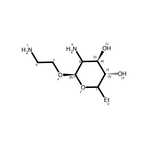 CCC1O[C@@H](OCCN)C(N)[C@@H](O)[C@@H]1O